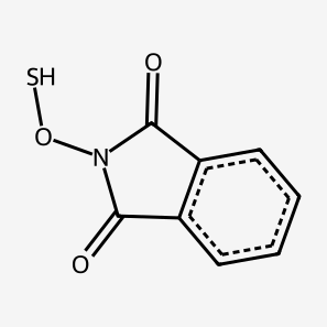 O=C1c2ccccc2C(=O)N1OS